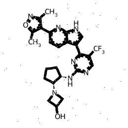 Cc1noc(C)c1-c1ccc2c(-c3nc(N[C@H]4CCC[C@H]4N4CC(O)C4)ncc3C(F)(F)F)c[nH]c2n1